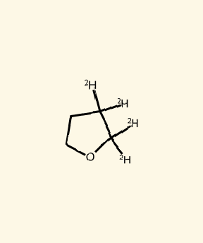 [2H]C1([2H])CCOC1([2H])[2H]